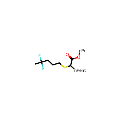 CCCCCC(SCCCC(C)(F)F)C(=O)OCCC